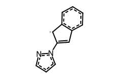 [CH]1C(n2cccn2)=Cc2ccccc21